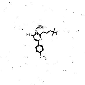 CCC(C)CN1C(CCCC(C)(C)F)=NC(c2ccc(C(F)(F)F)cc2)=CC1CC